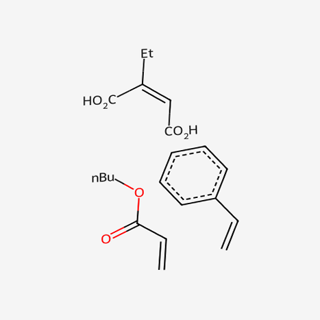 C=CC(=O)OCCCC.C=Cc1ccccc1.CCC(=CC(=O)O)C(=O)O